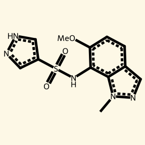 COc1ccc2cnn(C)c2c1NS(=O)(=O)c1cn[nH]c1